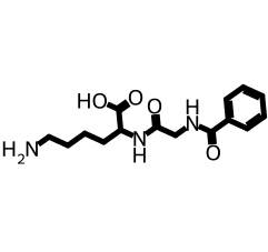 NCCCCC(NC(=O)CNC(=O)c1ccccc1)C(=O)O